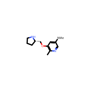 CNc1cnc(C)c(OC[C@@H]2CCCN2)c1